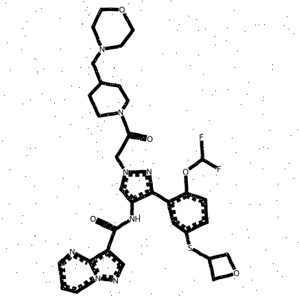 O=C(Nc1cn(CC(=O)N2CCC(CN3CCOCC3)CC2)nc1-c1cc(SC2COC2)ccc1OC(F)F)c1cnn2cccnc12